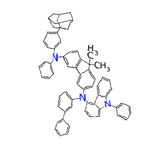 CC1(C)c2ccc(N(c3ccccc3)c3cccc(C45CC6CC(CC(C6)C4)C5)c3)cc2-c2cc(N(c3cccc(-c4ccccc4)c3)c3cccc4c3c3ccccc3n4-c3ccccc3)ccc21